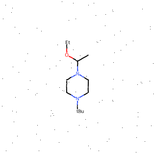 CCOC(C)N1CCN(C(C)(C)C)CC1